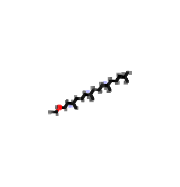 CCOC/C=C(\C)CC/C=C(\C)CC/C=C(\C)CCC=C(C)C